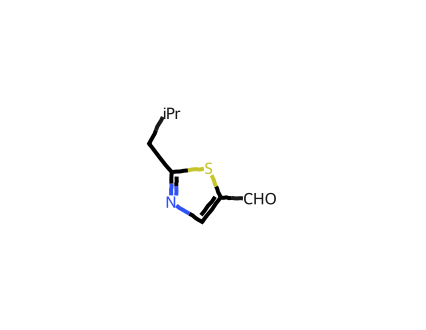 CC(C)Cc1ncc(C=O)s1